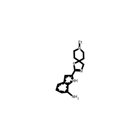 CCN1CCC2(CC1)CN=C(c1cc3cccc(N)c3[nH]1)S2